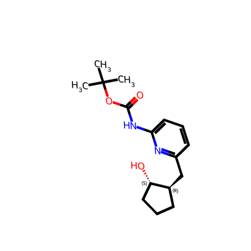 CC(C)(C)OC(=O)Nc1cccc(C[C@H]2CCC[C@@H]2O)n1